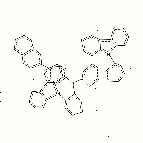 c1ccc(-n2c3ccccc3c3cccc(-c4cccc(N(c5ccc(-c6ccc7ccccc7c6)cc5)c5ccccc5-n5c6ccccc6c6ccccc65)c4)c32)cc1